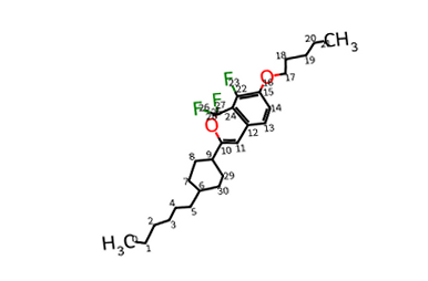 CCCCCCC1CCC(C2=Cc3ccc(OCCCCC)c(F)c3C(F)(F)O2)CC1